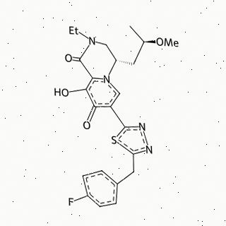 CCN1C[C@H](C[C@@H](C)OC)n2cc(-c3nnc(Cc4ccc(F)cc4)s3)c(=O)c(O)c2C1=O